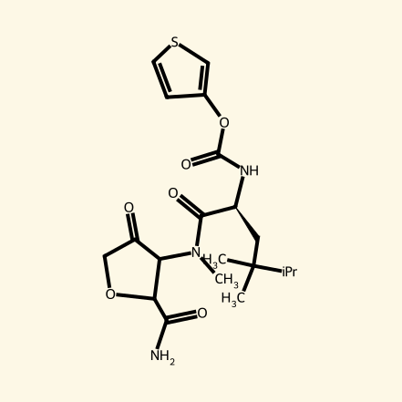 CC(C)C(C)(C)C[C@H](NC(=O)Oc1ccsc1)C(=O)N(C)C1C(=O)COC1C(N)=O